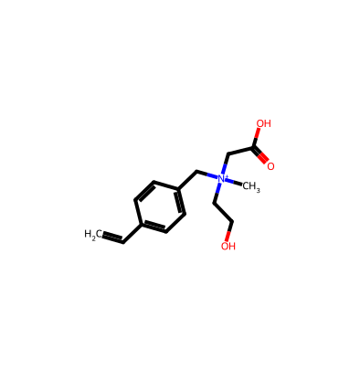 C=Cc1ccc(C[N+](C)(CCO)CC(=O)O)cc1